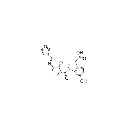 O=C(O)Cc1ccc(O)cc1NC(=O)N1CCN(N=Cc2ccoc2)C1=O